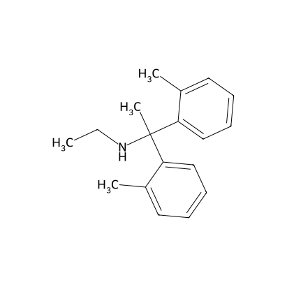 CCNC(C)(c1ccccc1C)c1ccccc1C